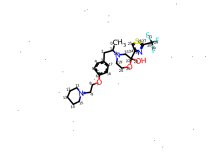 CC(Cc1ccc(OCCN2CCCCC2)cc1)N1CCOC(O)(c2csc(C(F)(F)F)n2)C1